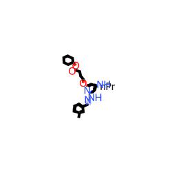 CCCNc1cc(N/N=C/c2cccc(C)c2)nc(OCCCC(=O)OC2CCCCC2)c1